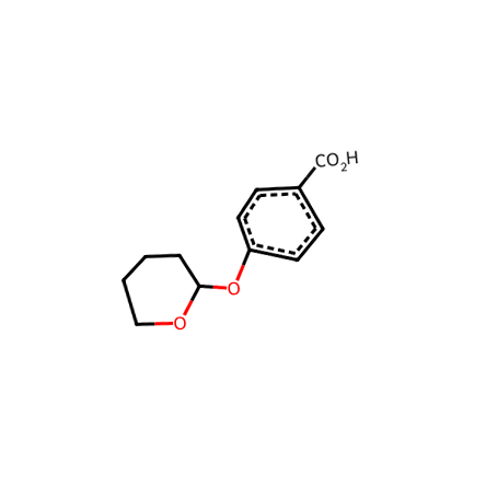 O=C(O)c1ccc(OC2CCCCO2)cc1